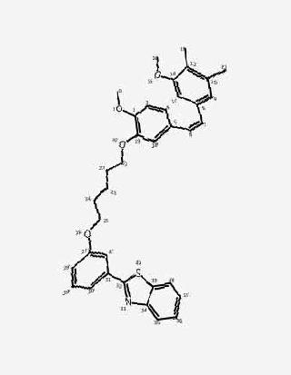 COc1ccc(/C=C\c2cc(C)c(C)c(OC)c2)cc1OCCCCCOc1cccc(-c2nc3ccccc3s2)c1